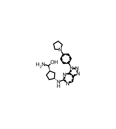 NC(O)[C@@H]1CC[C@@H](Nc2ncc3nnn(-c4ccc(N5CCCC5)cc4)c3n2)C1